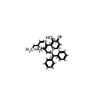 CC[C@@H](C)/C=N\C1=C(C)CN(C(c2ccccc2)c2ccccc2)n2ccc(=O)c(O)c21